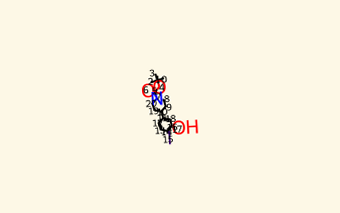 CC(C)(C)OC(=O)N1CCC(c2ccc(I)c(O)c2)CC1